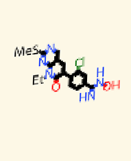 CCn1c(=O)c(-c2ccc(C(=N)NO)cc2Cl)cc2cnc(SC)nc21